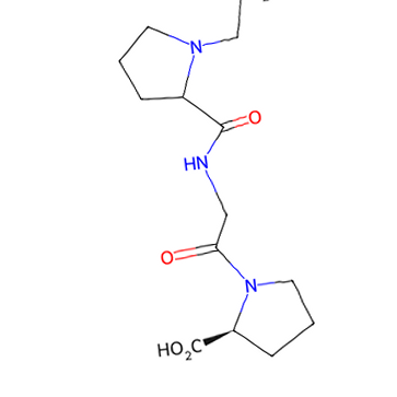 O=C(O)CN1CCCC1C(=O)NCC(=O)N1CCC[C@H]1C(=O)O